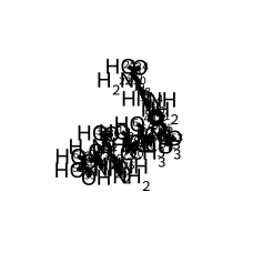 C[N+](C)(C)CCO.C[N+](C)(C)CCO.N=C(N)NCCC[C@H](N)C(=O)O.N=C(N)NCCC[C@H](N)C(=O)O.NCC(=O)[O-].N[C@@H](Cc1ccccc1)C(=O)[O-].OCC(O)CO